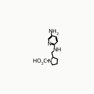 Nc1ccc(NCC2CCCN2C(=O)O)nc1